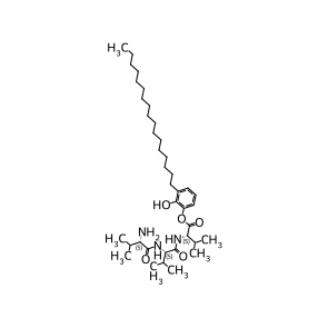 CCCCCCCCCCCCCCCCCc1cccc(OC(=O)[C@@H](NC(=O)[C@@H](NC(=O)[C@@H](N)C(C)C)C(C)C)C(C)C)c1O